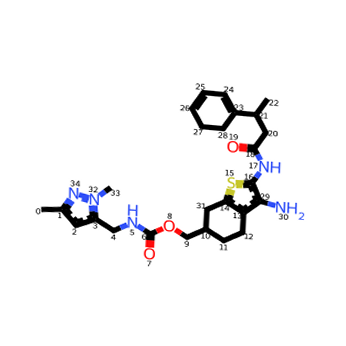 Cc1cc(CNC(=O)OCC2CCc3c(sc(NC(=O)CC(C)C4=CC=CCC4)c3N)C2)n(C)n1